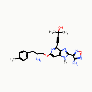 CCn1c(-c2nonc2N)nc2c(C#CC(C)(C)O)nc(OC[C@H](N)Cc3ccc(C(F)(F)F)cc3)cc21